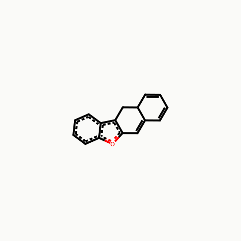 C1=CC2=Cc3oc4ccccc4c3CC2C=C1